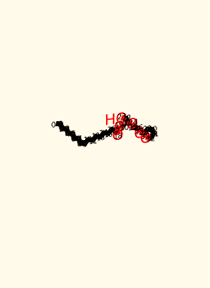 CCCCCCCC/C=C\CCCCCCCC(=O)OC[C@@H](CO)OCCOC1CCCCO1